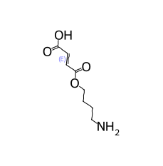 NCCCCOC(=O)/C=C/C(=O)O